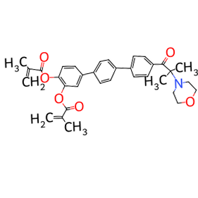 C=C(C)C(=O)Oc1ccc(-c2ccc(-c3ccc(C(=O)C(C)(C)N4CCOCC4)cc3)cc2)cc1OC(=O)C(=C)C